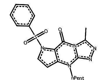 CCCCCn1c2ccn(S(=O)(=O)c3ccccc3)c2c(=O)n2c(C)nnc12